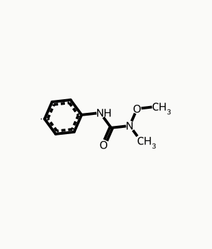 CON(C)C(=O)Nc1cc[c]cc1